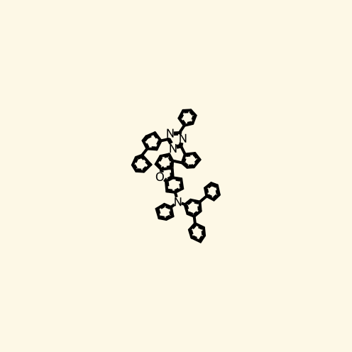 c1ccc(-c2cccc(-c3nc(-c4ccccc4)nc(-c4ccccc4-c4cccc5oc6cc(N(c7ccccc7)c7cc(-c8ccccc8)cc(-c8ccccc8)c7)ccc6c45)n3)c2)cc1